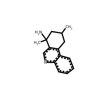 CC1Cc2c(cnc3ccccc23)C(C)(N)C1